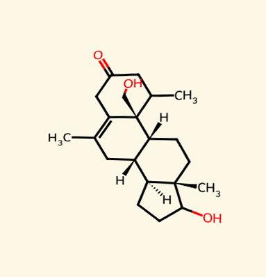 CC1=C2CC(=O)CC(C)[C@]2(CO)[C@@H]2CC[C@]3(C)C(O)CC[C@H]3[C@@H]2C1